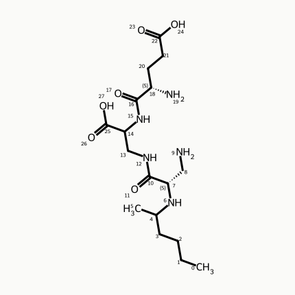 CCCCC(C)N[C@@H](CN)C(=O)NCC(NC(=O)[C@@H](N)CCC(=O)O)C(=O)O